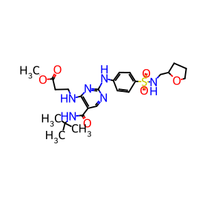 COC(=O)CCNc1nc(Nc2ccc(S(=O)(=O)NCC3CCCO3)cc2)ncc1C(=O)NC(C)(C)C